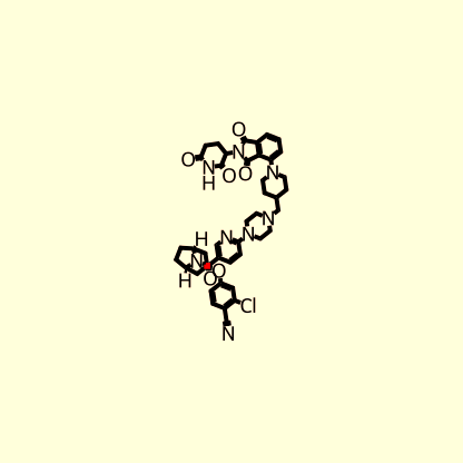 N#Cc1ccc(OC2C[C@H]3CC[C@@H](C2)N3C(=O)c2ccc(N3CCN(CC4CCN(c5cccc6c5C(=O)N(C5CCC(=O)NC5=O)C6=O)CC4)CC3)nc2)cc1Cl